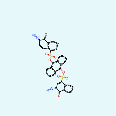 [N-]=[N+]=C1C=C(S(=O)(=O)Oc2c3ccccc3c(OS(=O)(=O)c3cccc4c3C=CC(=[N+]=[N-])C4=O)c3ccccc23)c2ccccc2C1=O